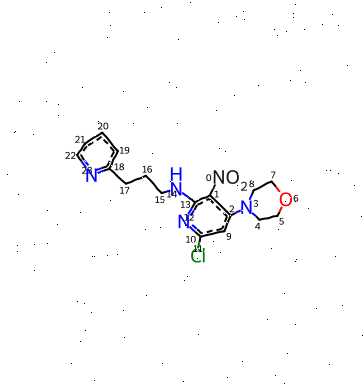 O=[N+]([O-])c1c(N2CCOCC2)cc(Cl)nc1NCCCc1ccccn1